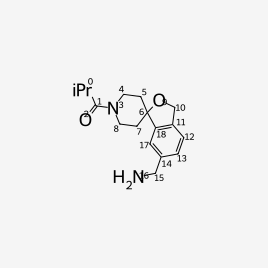 CC(C)C(=O)N1CCC2(CC1)OCc1ccc(CN)cc12